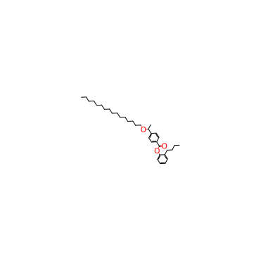 CCCCCCCCCCCCCCCCOC(C)c1ccc(C(=O)Oc2ccccc2CCCC)cc1